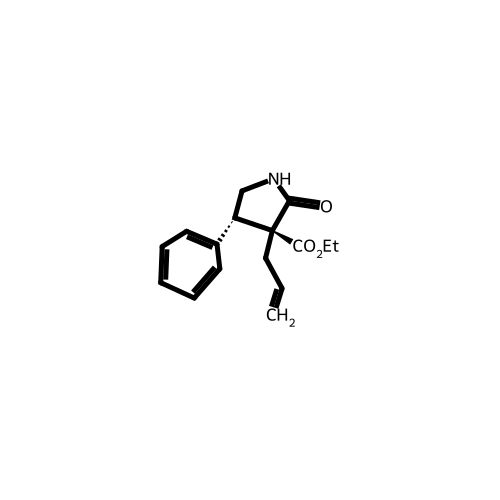 C=CC[C@@]1(C(=O)OCC)C(=O)NC[C@H]1c1ccccc1